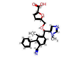 Cc1c(C(OCc2ccc(C(=O)O)o2)c2cncn2C)ccc(C#N)c1-c1ccccc1